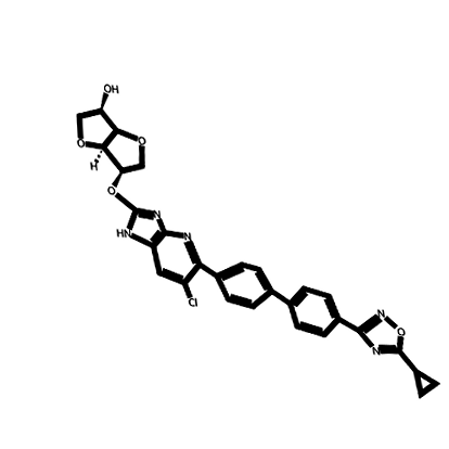 O[C@@H]1CO[C@H]2C1OC[C@H]2Oc1nc2nc(-c3ccc(-c4ccc(-c5noc(C6CC6)n5)cc4)cc3)c(Cl)cc2[nH]1